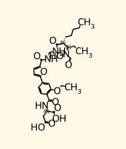 CCCCC[C@@H](C(=O)NCNC(=O)c1ccc(-c2ccc(C(=O)N[C@H](CC(=O)O)C(=O)O)c(OCC)c2)o1)[C@@H](CC)N(O)C=O